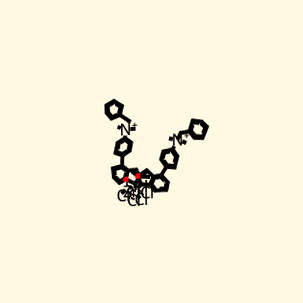 CC1=Cc2c(-c3ccc([N+](C)(C)Cc4ccccc4)cc3)cccc2[CH]1[Zr]([Cl])([Cl])([Cl])([Cl])([CH]1C(C)=Cc2c(-c3ccc([N+](C)(C)Cc4ccccc4)cc3)cccc21)[SiH](C)C